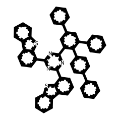 c1ccc(-c2ccc(-c3c(-c4ccccc4)cc(-c4ccccc4)cc3-c3nc(-c4cccc5c4sc4ccccc45)nc(-c4cccc5c4sc4ccccc45)n3)cc2)cc1